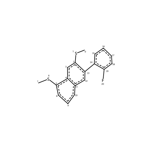 CSc1cc2c(SC)cccc2cc1-c1ccccc1F